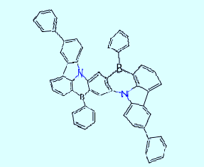 c1ccc(B2c3cc4c(cc3-n3c5ccc(-c6ccccc6)cc5c5cccc2c53)B(c2ccccc2)c2cccc3c5cc(-c6ccccc6)ccc5n-4c23)cc1